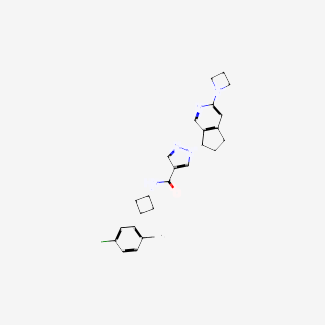 N#Cc1ccc(Cl)cc1[C@H]1C[C@@H](NC(=O)c2cnn([C@H]3CCc4cc(N5CCC5)ncc43)c2)C1